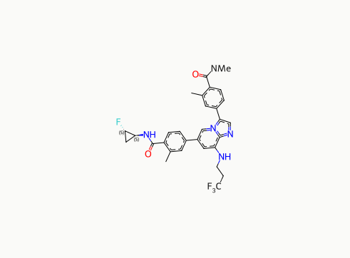 CNC(=O)c1ccc(-c2cnc3c(NCCC(F)(F)F)cc(-c4ccc(C(=O)N[C@H]5C[C@@H]5F)c(C)c4)cn23)cc1C